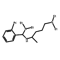 CCN(CC)CCCC(C)NC(c1ccccc1C(C)=O)N(CC)CC